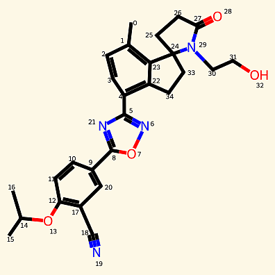 Cc1ccc(-c2noc(-c3ccc(OC(C)C)c(C#N)c3)n2)c2c1C1(CCC(=O)N1CCO)CC2